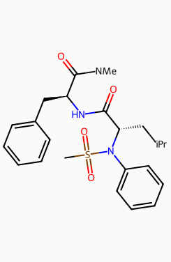 CNC(=O)[C@H](Cc1ccccc1)NC(=O)[C@H](CC(C)C)N(c1ccccc1)S(C)(=O)=O